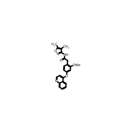 COc1cc(Oc2ccnc3ccccc23)ccc1CC(=O)Nc1noc(C)c1C